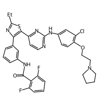 CCc1nc(-c2cccc(NC(=O)c3c(F)cccc3F)c2)c(-c2ccnc(Nc3ccc(OCCN4CCCC4)c(Cl)c3)n2)s1